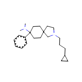 CN(C)C1(c2ccccc2)CCC2(CCN(CCCC3CC3)C2)CC1